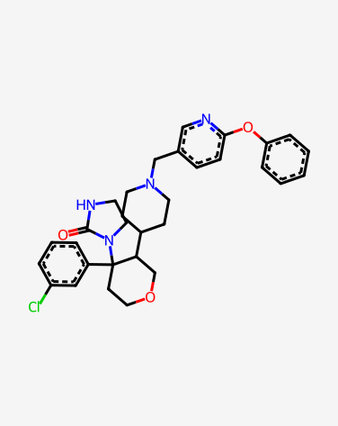 O=C1NCCN1C1(c2cccc(Cl)c2)CCOCC1C1CCN(Cc2ccc(Oc3ccccc3)nc2)CC1